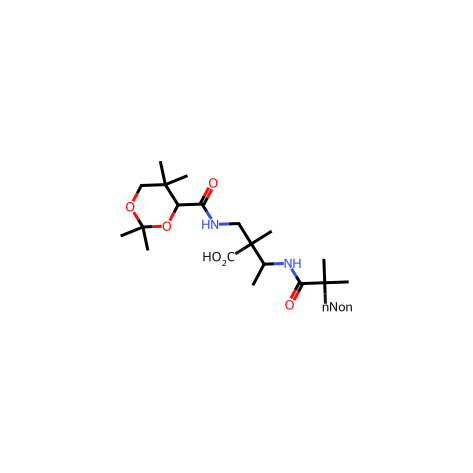 CCCCCCCCCC(C)(C)C(=O)NC(C)C(C)(CNC(=O)C1OC(C)(C)OCC1(C)C)C(=O)O